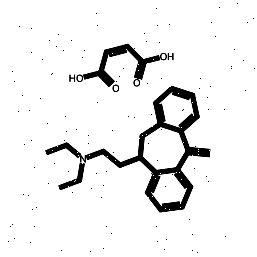 C=C1c2ccccc2CC(CCN(CC)CC)c2ccccc21.O=C(O)/C=C\C(=O)O